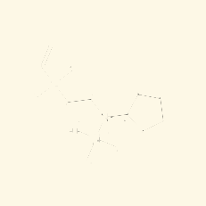 C=C[Si](C)(C)CCN(C1CCCC1)[Si](C)(C)C(C)(C)C